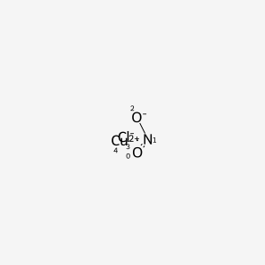 O=N[O-].[Cl-].[Cu+2]